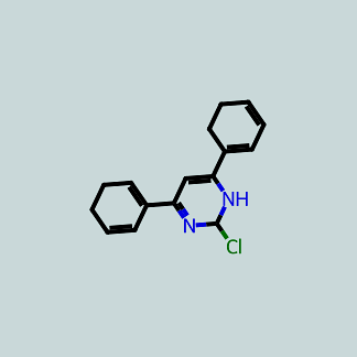 ClC1N=C(C2=CCCC=C2)C=C(C2=CC=CCC2)N1